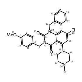 COc1ccc(Cn2c(=O)c3c(N4CCN(C)CC4)cc(Cl)cc3n(Cc3ccccc3)c2=O)cc1